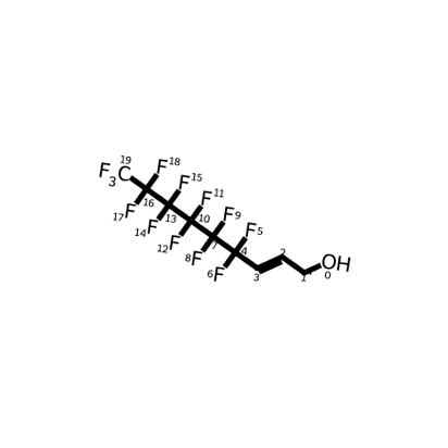 O[CH]C=CC(F)(F)C(F)(F)C(F)(F)C(F)(F)C(F)(F)C(F)(F)F